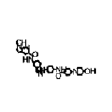 Cn1ccc2cc(C(=O)Nc3ccc4c(cnn4-c4ccc(NC(=O)c5ccc(N6CCC(O)CC6)cc5)cc4)c3)ccc21